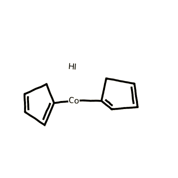 C1=CC[C]([Co][C]2=CC=CC2)=C1.I